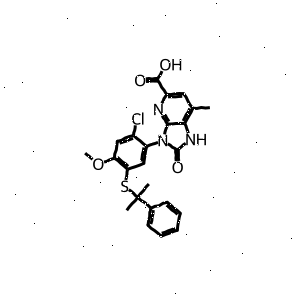 COc1cc(Cl)c(-n2c(=O)[nH]c3c(C)cc(C(=O)O)nc32)cc1SC(C)(C)c1ccccc1